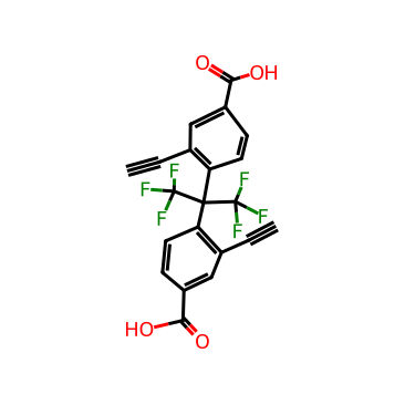 C#Cc1cc(C(=O)O)ccc1C(c1ccc(C(=O)O)cc1C#C)(C(F)(F)F)C(F)(F)F